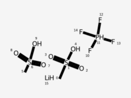 CS(=O)(=O)O.CS(=O)(=O)O.F[PH](F)(F)F.[LiH]